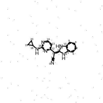 N#CC(=C1Nc2ccccc2N1)c1ccnc(NC2CC2)n1